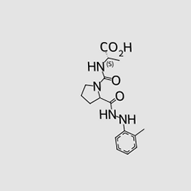 Cc1ccccc1NNC(=O)C1CCCN1C(=O)N[C@@H](C)C(=O)O